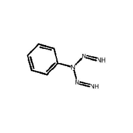 N=NN(N=N)c1ccccc1